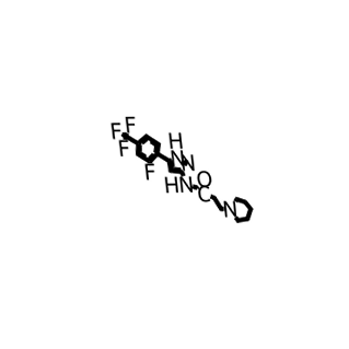 O=C(CCCN1CCCCC1)Nc1cc(-c2ccc(C(F)(F)F)cc2F)[nH]n1